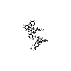 COC(=O)N[C@H](C(=O)Nc1ccccc1CCCN(CCC(C)C)S(=O)(=O)c1ccc(N)cc1)C(c1ccccc1)c1ccccc1